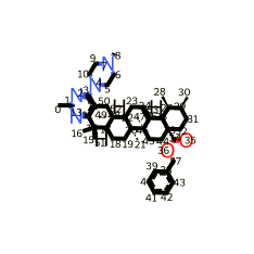 Cc1nc(N2CCN(C)CC2)c2c(n1)C(C)(C)[C@H]1CC[C@@]3(C)[C@@H](CC=C4[C@@H]5[C@@H](C)[C@@H](C)CC[C@]5(C(=O)OCc5ccccc5)CC[C@]43C)[C@]1(C)C2